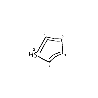 [C]1=C=[SH]C=C1